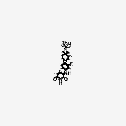 CC(C)(C)OC(=O)N1CC2(CCN(c3ccc(NC4CCC(=O)NC4=O)cc3F)CC2)C1